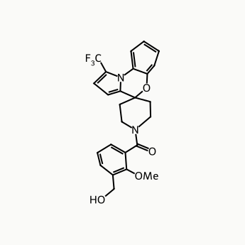 COc1c(CO)cccc1C(=O)N1CCC2(CC1)Oc1ccccc1-n1c(C(F)(F)F)ccc12